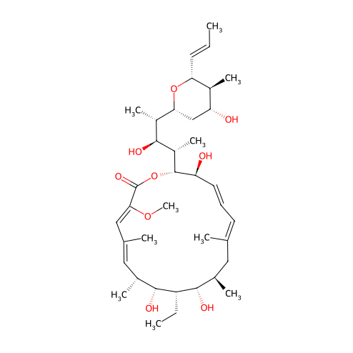 C/C=C/[C@H]1O[C@@H]([C@@H](C)[C@H](O)[C@H](C)[C@H]2OC(=O)/C(OC)=C/C(C)=C/[C@@H](C)[C@@H](O)[C@@H](CC)[C@@H](O)[C@H](C)C/C(C)=C/C=C/[C@@H]2O)C[C@@H](O)[C@@H]1C